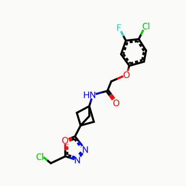 O=C(COc1ccc(Cl)c(F)c1)NC12CC(c3nnc(CCl)o3)(C1)C2